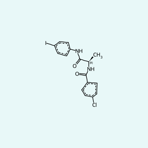 C[C@@H](NC(=O)c1ccc(Cl)cc1)C(=O)Nc1ccc(I)cc1